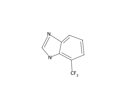 FC(F)(F)c1cccc2c1[N]C=N2